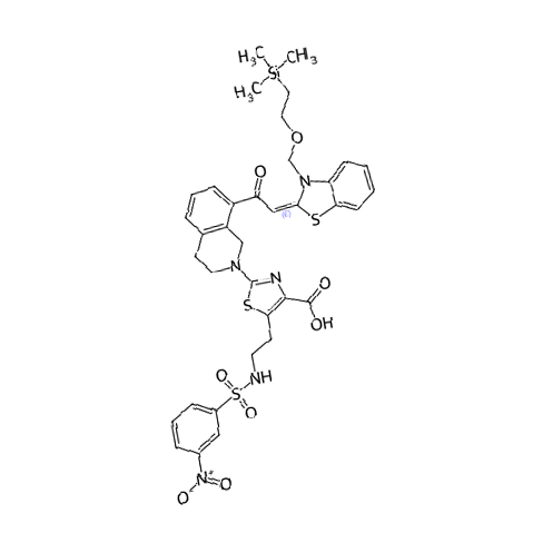 C[Si](C)(C)CCOCN1/C(=C\C(=O)c2cccc3c2CN(c2nc(C(=O)O)c(CCNS(=O)(=O)c4cccc([N+](=O)[O-])c4)s2)CC3)Sc2ccccc21